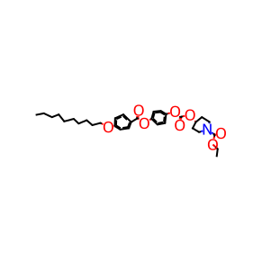 CCCCCCCCCCOc1ccc(C(=O)Oc2ccc(OC(=O)OC3CCN(C(=O)OCC)CC3)cc2)cc1